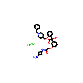 Cl.Cl.NC1CC(NC(=O)COc2cccc([C@](O)(C(=O)OCC3CCN(Cc4ccccc4)CC3)c3ccccc3)c2)C1